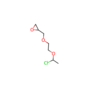 CC(Cl)OCCOCC1CO1